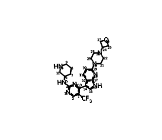 FC(F)(F)c1cnc(NC2CCCNC2)nc1-c1c[nH]c2nc(N3CCN(C4COC4)CC3)ccc12